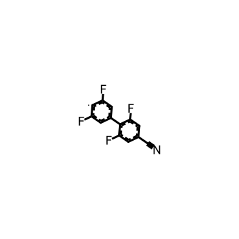 N#Cc1cc(F)c(-c2cc(F)[c]c(F)c2)c(F)c1